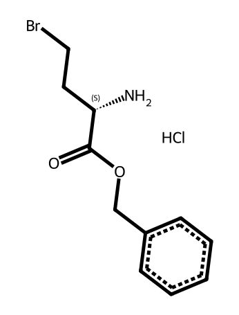 Cl.N[C@@H](CCBr)C(=O)OCc1ccccc1